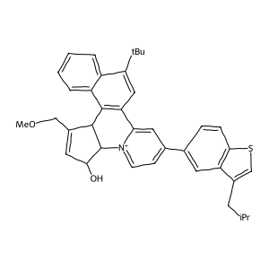 COCC1=CC(O)C2C1c1c(cc(C(C)(C)C)c3ccccc13)-c1cc(-c3ccc4scc(CC(C)C)c4c3)cc[n+]12